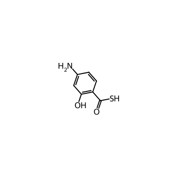 Nc1ccc(C(=O)S)c(O)c1